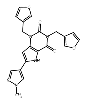 Cn1cc(-c2cc3c([nH]2)c(=O)n(Cc2ccoc2)c(=O)n3Cc2ccoc2)cn1